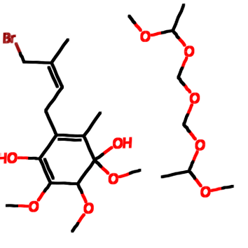 COC(C)OCOCOC(C)OC.COC1=C(O)C(CC=C(C)CBr)=C(C)C(O)(OC)C1OC